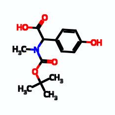 CN(C(=O)OC(C)(C)C)C(C(=O)O)c1ccc(O)cc1